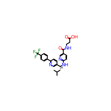 CC(C)C[C@@H](Nc1ccc(C(=O)NCCC(=O)O)cn1)c1ccc(-c2ccc(C(F)(F)F)cc2)nc1